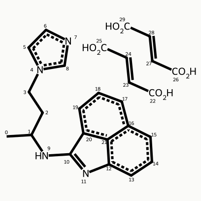 CC(CCn1ccnc1)NC1=Nc2cccc3cccc1c23.O=C(O)C=CC(=O)O.O=C(O)C=CC(=O)O